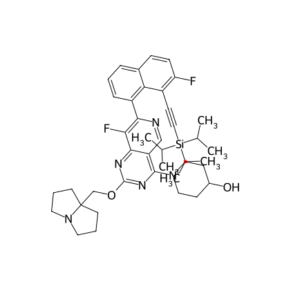 CC(C)[Si](C#Cc1c(F)ccc2cccc(-c3ncc4c(N5CCC(O)CC5)nc(OCC56CCCN5CCC6)nc4c3F)c12)(C(C)C)C(C)C